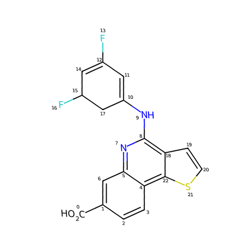 O=C(O)c1ccc2c(c1)nc(NC1=CC(F)=CC(F)C1)c1ccsc12